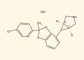 CC1(c2ccc(Cl)cn2)Oc2cccc(C3[C@H]4CNC[C@@H]34)c2O1.Cl